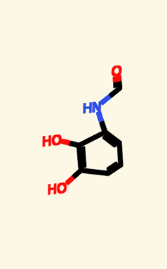 O=CNc1cccc(O)c1O